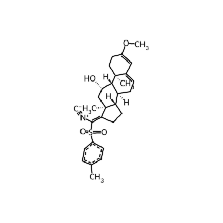 [C-]#[N+]C(=C1CC[C@H]2[C@@H]3CC=C4C=C(OC)CC[C@]4(C)[C@H]3[C@@H](O)C[C@]12C)S(=O)(=O)c1ccc(C)cc1